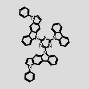 c1ccc(-n2ccc3cc4c(cc32)c2ccccc2n4-c2nc(-n3c4ccccc4c4ccccc43)nc(-n3c4ccccc4c4cc5c(ccn5-c5ccccc5)cc43)n2)cc1